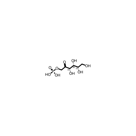 O=C(COP(=O)(O)O)[C@@H](O)[C@H](O)[C@@H](O)CO